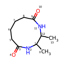 CC1NC(=O)CCCCC(=O)NC1C